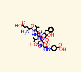 CC(C)C[C@H](NC(=O)[C@@H](NC(=O)[C@@H](N)CCC(=O)O)C(C)C)C(=O)N[C@@H](Cc1ccccc1)[C@@H](O)C(=O)N[C@@H](CC(=O)O)C(=O)N[C@@H](C)C(=O)NC1CCC(C(=O)O)CC1